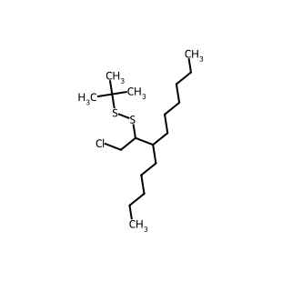 CCCCCCC(CCCCC)C(CCl)SSC(C)(C)C